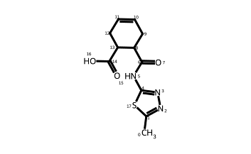 Cc1nnc(NC(=O)C2CC=CCC2C(=O)O)s1